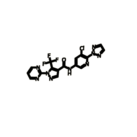 O=C(Nc1cnc(-n2nccn2)c(Cl)c1)c1cnn(-c2ncccn2)c1C(F)(F)F